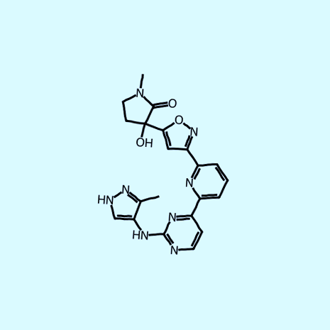 Cc1n[nH]cc1Nc1nccc(-c2cccc(-c3cc(C4(O)CCN(C)C4=O)on3)n2)n1